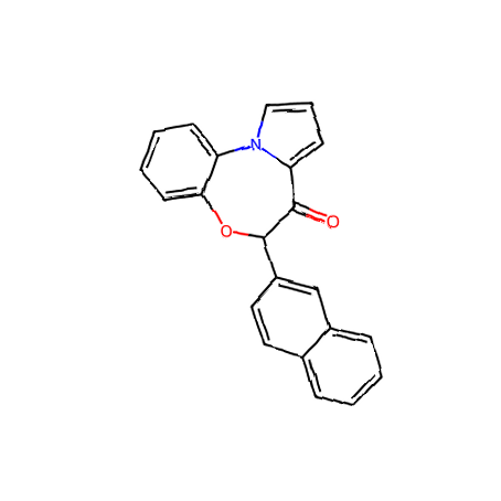 O=C1c2cccn2-c2ccccc2OC1c1ccc2ccccc2c1